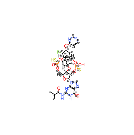 CC(C)C(=O)Nc1nc2c(ncn2[C@@H]2O[C@@H]3CO[P@](=O)(S)O[C@@H]4[C@@H](CO[P@@](O)(=S)O[C@@H]2[C@@H]3O[Si](C)(C)C(C)(C)C)C[C@@H](Oc2ccncn2)[C@@H]4F)c(=O)[nH]1